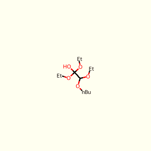 CCCCOC(OCC)C(O)(OCC)OCC